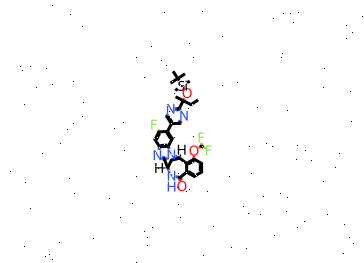 CCC(C)(O[Si](C)(C)C(C)(C)C)c1ncc(-c2cc3c(cc2F)nc2n3[C@@H]3C[C@H]2NC(=O)c2cccc(OC(F)F)c23)cn1